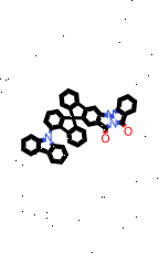 O=c1c2ccccc2n2c3cc4c(cc3c(=O)n12)C1(c2ccccc2-4)c2ccccc2-c2c(-n3c4ccccc4c4ccccc43)cccc21